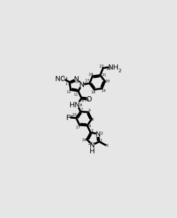 Cc1nc(-c2ccc(NC(=O)c3cc(C#N)nn3-c3cccc(CN)c3)c(F)c2)c[nH]1